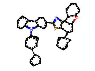 c1ccc(-c2ccc(-n3c4ccccc4c4ccc(-c5nc6c(s5)c(-c5ccccc5)cc5oc7ccccc7c56)cc43)cc2)cc1